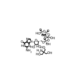 NC(CO)(CO)CO.Nc1nc2c(ncn2[C@@H]2O[C@H](COP(=O)(O)OP(=O)(O)OP(=O)(O)OP(=O)(O)O)[C@@H](O)[C@H]2O)c(=O)[nH]1